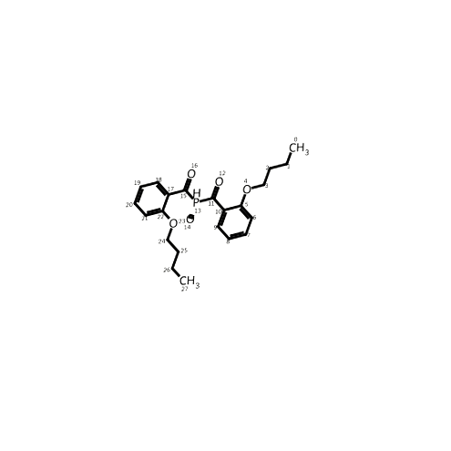 CCCCOc1ccccc1C(=O)[PH](=O)C(=O)c1ccccc1OCCCC